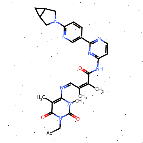 CC(=O)Cn1c(=O)c(C)c(/N=C\C(C)=C(\C)C(=O)Nc2ccnc(-c3ccc(N4CC5CC5C4)nc3)n2)n(C)c1=O